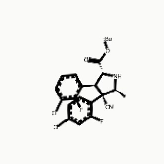 C[C@@H]1N[C@@H](C(=O)OC(C)(C)C)[C@H](c2cccc(Cl)c2F)[C@@]1(C#N)c1ccc(Cl)cc1F